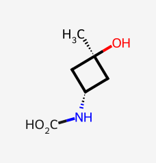 C[C@]1(O)C[C@H](NC(=O)O)C1